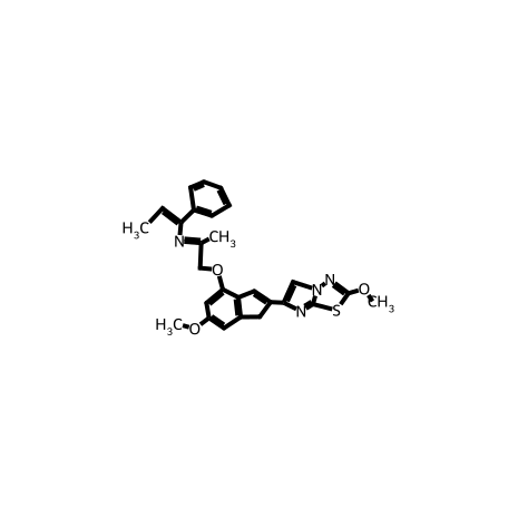 C/C=C(\N=C(/C)COc1cc(OC)cc2c1C=C(c1cn3nc(OC)sc3n1)C2)c1ccccc1